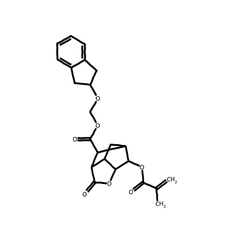 C=C(C)C(=O)OC1C2CC3C1OC(=O)C3C2C(=O)OCOC1Cc2ccccc2C1